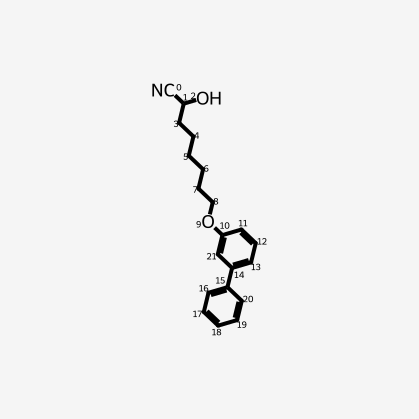 N#CC(O)CCCCCCOc1cccc(-c2ccccc2)c1